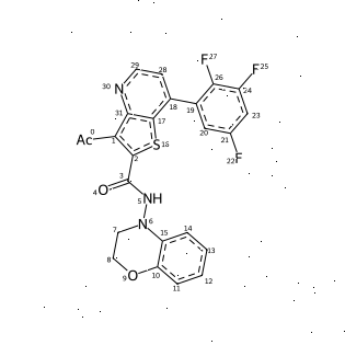 CC(=O)c1c(C(=O)NN2CCOc3ccccc32)sc2c(-c3cc(F)cc(F)c3F)ccnc12